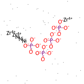 O=P([O-])([O-])[O-].O=P([O-])([O-])[O-].O=P([O-])([O-])[O-].O=P([O-])([O-])[O-].[Ni].[Ni].[Ni].[Zr+4].[Zr+4].[Zr+4]